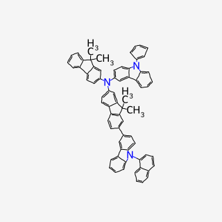 CC1(C)c2ccccc2-c2ccc(N(c3ccc4c(c3)C(C)(C)c3cc(-c5ccc6c(c5)c5ccccc5n6-c5cccc6ccccc56)ccc3-4)c3ccc4c(c3)c3ccccc3n4-c3ccccc3)cc21